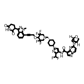 Cn1nc(C2CCC(=O)NC2=O)c2cccc(C#CCOC3C(F)(F)CN(C[C@H]4CC[C@H](n5cc(NC(=O)c6cnn7ccc(N8C[C@H]9C[C@@H]8CO9)nc67)c(C(F)F)n5)CC4)CC3(F)F)c21